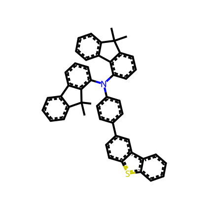 CC1(C)c2ccccc2-c2c(N(c3ccc(-c4ccc5sc6ccccc6c5c4)cc3)c3cccc4c3C(C)(C)c3ccccc3-4)cccc21